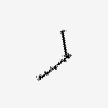 O=C[C@H](CCCCNC(=O)COCCOCCNC(=O)COCCOCCCNC(=O)CC[C@H](NC(=O)CCCCCCCCCCCCCCCCCCC(=O)O)C(=O)O)NO